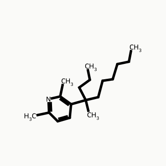 CCCCCCC(C)(CCC)c1ccc(C)nc1C